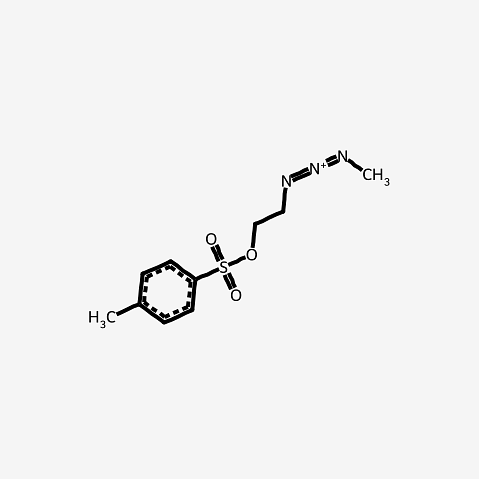 CN=[N+]=NCCOS(=O)(=O)c1ccc(C)cc1